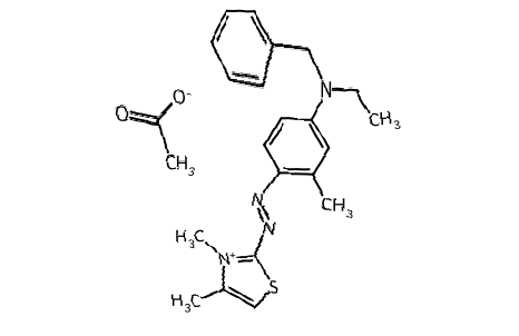 CC(=O)[O-].CCN(Cc1ccccc1)c1ccc(/N=N/c2scc(C)[n+]2C)c(C)c1